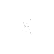 CCOP(=O)(N[C@@H](Cc1ccccc1)C(=O)N[C@@H](Cc1c[nH]cn1)C(=O)N[C@@H](CC1CCCCC1)[C@@H](O)c1ccco1)OCC